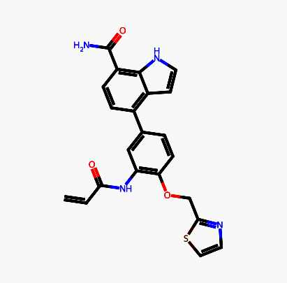 C=CC(=O)Nc1cc(-c2ccc(C(N)=O)c3[nH]ccc23)ccc1OCc1nccs1